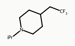 CC(C)N1CCC(CC(F)(F)F)CC1